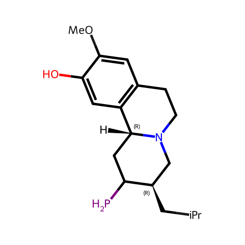 COc1cc2c(cc1O)[C@H]1CC(P)[C@H](CC(C)C)CN1CC2